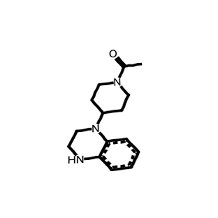 CC(=O)N1CCC(N2CCNc3ccccc32)CC1